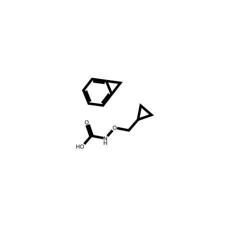 O=C(O)NOCC1CC1.c1ccc2c(c1)C2